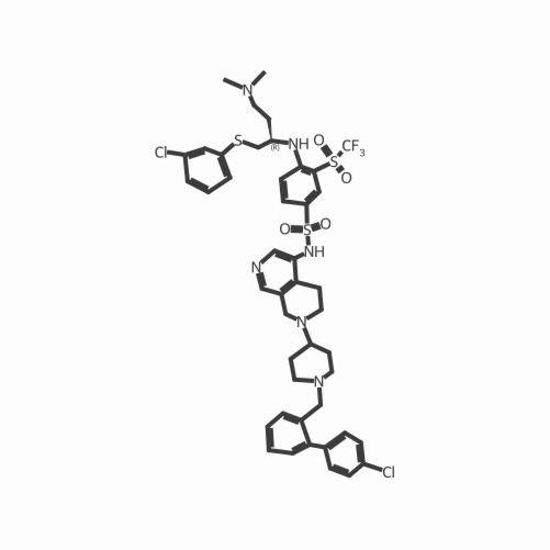 CN(C)CC[C@H](CSc1cccc(Cl)c1)Nc1ccc(S(=O)(=O)Nc2cncc3c2CCN(C2CCN(Cc4ccccc4-c4ccc(Cl)cc4)CC2)C3)cc1S(=O)(=O)C(F)(F)F